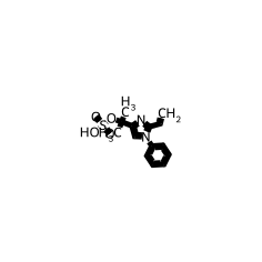 C=Cc1nc(C(C)(C)OS(=O)(=O)O)cn1-c1ccccc1